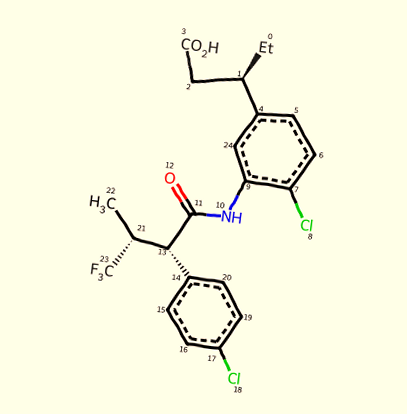 CC[C@H](CC(=O)O)c1ccc(Cl)c(NC(=O)[C@H](c2ccc(Cl)cc2)[C@@H](C)C(F)(F)F)c1